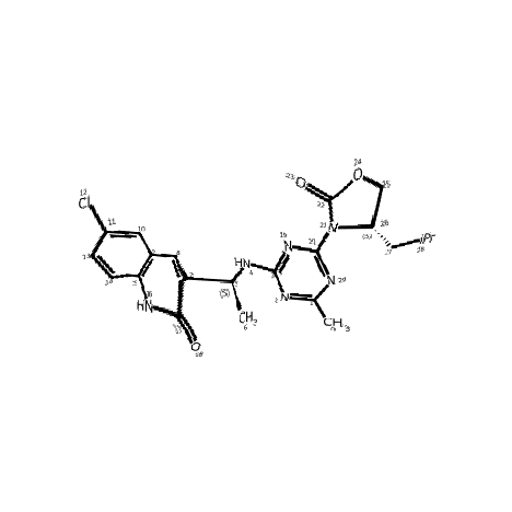 Cc1nc(N[C@@H](C)c2cc3cc(Cl)ccc3[nH]c2=O)nc(N2C(=O)OC[C@@H]2CC(C)C)n1